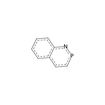 c1ccc2npccc2c1